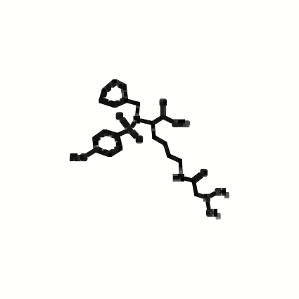 COC(=O)C(CCCCNC(=O)CN(C)C)N(Cc1ccccc1)S(=O)(=O)c1ccc(OC)cc1